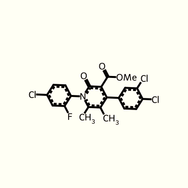 COC(=O)c1c(-c2ccc(Cl)c(Cl)c2)c(C)c(C)n(-c2ccc(Cl)cc2F)c1=O